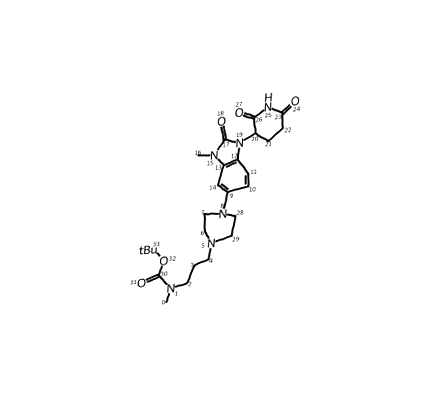 CN(CCCN1CCN(c2ccc3c(c2)n(C)c(=O)n3C2CCC(=O)NC2=O)CC1)C(=O)OC(C)(C)C